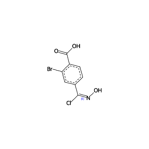 O=C(O)c1ccc(/C(Cl)=N\O)cc1Br